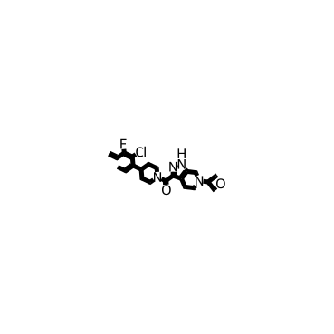 C=C/C(F)=C(Cl)\C(=C/C)C1CCN(C(=O)c2n[nH]c3c2CCN(C2COC2)C3)CC1